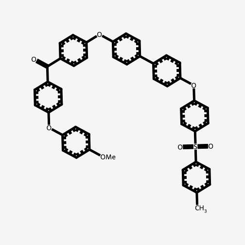 COc1ccc(Oc2ccc(C(=O)c3ccc(Oc4ccc(-c5ccc(Oc6ccc(S(=O)(=O)c7ccc(C)cc7)cc6)cc5)cc4)cc3)cc2)cc1